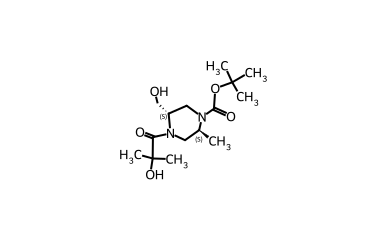 C[C@H]1CN(C(=O)C(C)(C)O)[C@H](CO)CN1C(=O)OC(C)(C)C